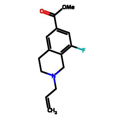 C=CCN1CCc2cc(C(=O)OC)cc(F)c2C1